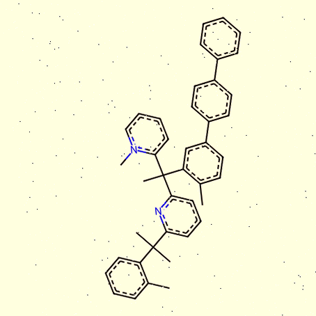 Cc1ccccc1C(C)(C)c1cccc(C(C)(c2cc(-c3ccc(-c4ccccc4)cc3)ccc2C)c2cccc[n+]2C)n1